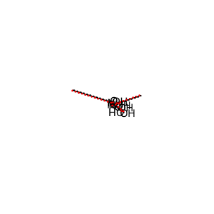 CCCCCCCCCCCCCCCCCCCCCCCCn1nnn([C@@H](COC[C@H](O)[C@@H](O)CO)[C@H](O)[C@H](O)CCCCCCCCCCCCCC)c1=O